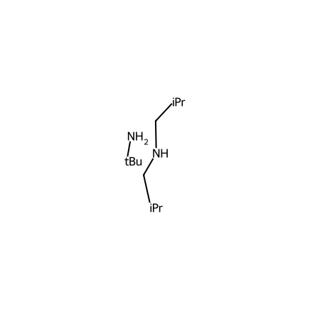 CC(C)(C)N.CC(C)CNCC(C)C